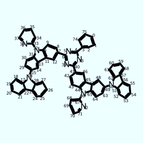 c1ccc(-c2nc(-c3ccc4c(c3)c3cc(-n5c6ccccc6c6ccccc65)ccc3n4-c3ccccn3)nc(-c3ccc4c(c3)c3cc(-n5c6ccccc6c6ccccc65)ccc3n4-c3ccccn3)n2)cc1